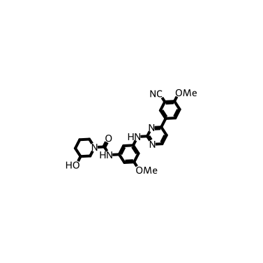 COc1cc(NC(=O)N2CCCC(O)C2)cc(Nc2nccc(-c3ccc(OC)c(C#N)c3)n2)c1